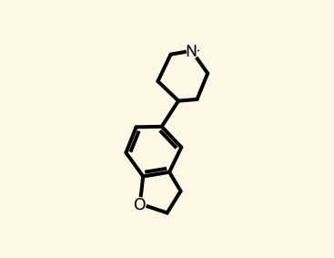 c1cc2c(cc1C1CC[N]CC1)CCO2